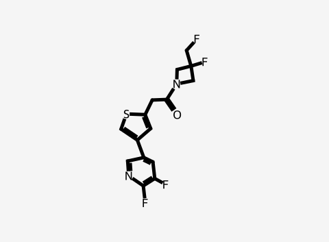 O=C(Cc1cc(-c2cnc(F)c(F)c2)cs1)N1CC(F)(CF)C1